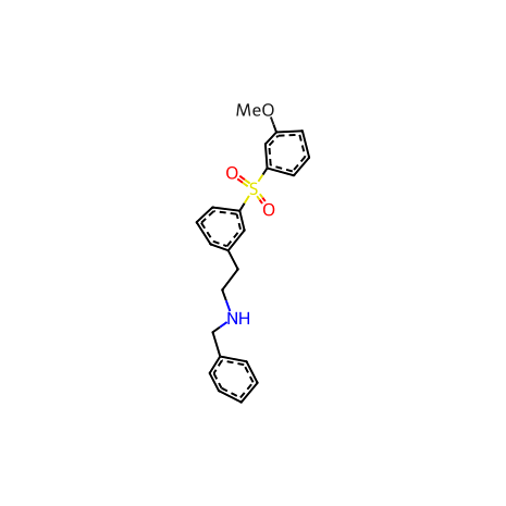 COc1cccc(S(=O)(=O)c2cccc(CCNCc3ccccc3)c2)c1